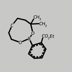 CCOC(=O)c1ccccc1B1OCCCCCC(C)(C)O1